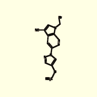 CC(C)Cn1cc(C#N)c2cc(-n3cc(OC(=O)O)cn3)ccc21